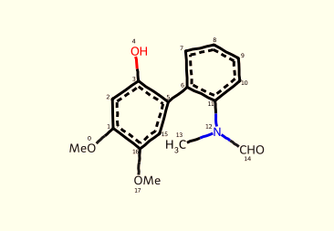 COc1cc(O)c(-c2ccccc2N(C)C=O)cc1OC